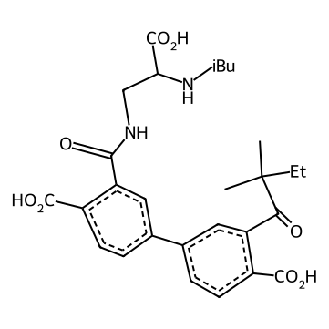 CCC(C)NC(CNC(=O)c1cc(-c2ccc(C(=O)O)c(C(=O)C(C)(C)CC)c2)ccc1C(=O)O)C(=O)O